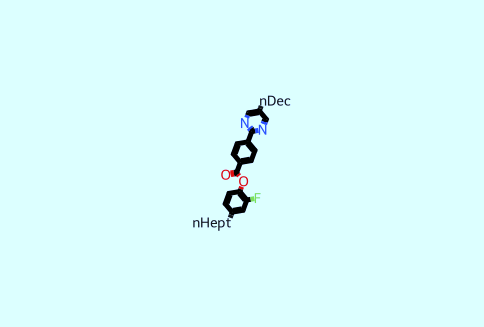 CCCCCCCCCCc1cnc(-c2ccc(C(=O)Oc3ccc(CCCCCCC)cc3F)cc2)nc1